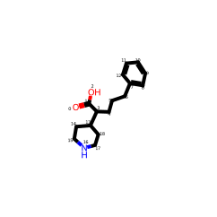 O=C(O)C(CCCc1ccccc1)C1CCNCC1